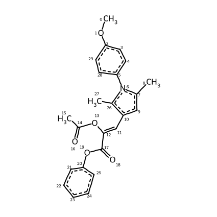 COc1ccc(-n2c(C)cc(C=C(OC(C)=O)C(=O)Oc3ccccc3)c2C)cc1